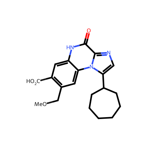 COCc1cc2c(cc1C(=O)O)[nH]c(=O)c1ncc(C3CCCCCC3)n12